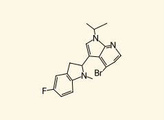 CC(C)n1cc(C2Cc3cc(F)ccc3N2C)c2c(Br)ccnc21